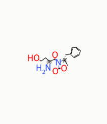 N[C@H](CCO)C(=O)N1C(=O)OC[C@H]1Cc1ccccc1